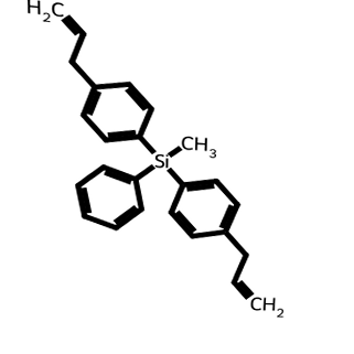 C=CCc1ccc([Si](C)(c2ccccc2)c2ccc(CC=C)cc2)cc1